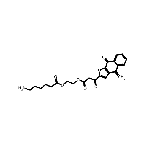 C=C1c2ccccc2C(=O)c2oc(C(=O)CC(=O)OCCOC(=O)CCCCCN)cc21